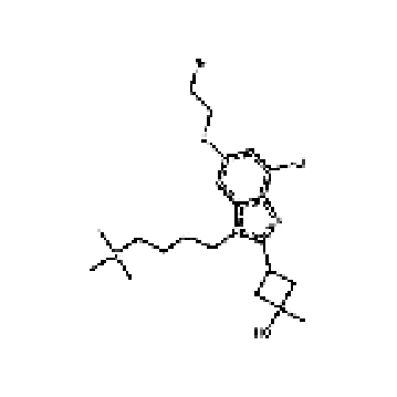 CC1(O)CC(c2nc3c(Cl)cc(OCCBr)cc3n2COCC[Si](C)(C)C)C1